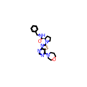 O=C(NCc1ccccc1)[C@H]1CCCN1c1nc2ncnc(N3CCCOCC3)c2s1